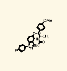 COc1ccc([C@H](Oc2ccc3c(cnn3-c3ccc(F)cc3)c2)[C@H](C)NC(=O)C(C)(C)C)cc1